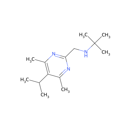 Cc1nc(CNC(C)(C)C)nc(C)c1C(C)C